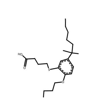 CCCCCC(C)(C)c1ccc(OCCCC)c(SCCCC(=O)O)c1